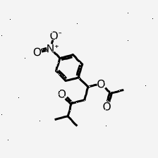 CC(=O)OC(CC(=O)C(C)C)c1ccc([N+](=O)[O-])cc1